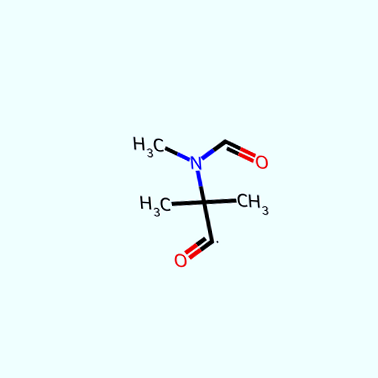 CN(C=O)C(C)(C)[C]=O